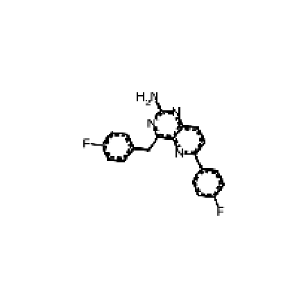 Nc1nc(Cc2ccc(F)cc2)c2nc(-c3ccc(F)cc3)ccc2n1